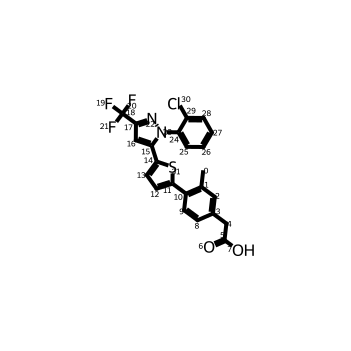 Cc1cc(CC(=O)O)ccc1-c1ccc(-c2cc(C(F)(F)F)nn2-c2ccccc2Cl)s1